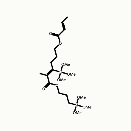 CC=CC(=O)OCCCC(=C(C)C(=O)OCCC[Si](OC)(OC)OC)[Si](OC)(OC)OC